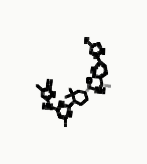 Cc1cc(Nc2cc(C)[nH]n2)nc([C@@H]2CC[C@@H](C(=O)N[C@@H](C)c3ccc(-n4cc(F)cn4)nc3)CC2(C)C)n1